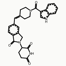 O=C1CCC(N2Cc3cc(C=C4CCN(C(=O)c5c[nH]c6ccccc56)CC4)ccc3C2=O)C(=O)N1